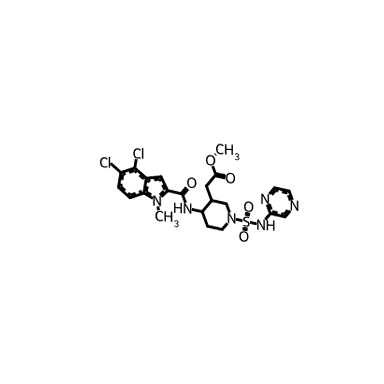 COC(=O)CC1CN(S(=O)(=O)Nc2cnccn2)CCC1NC(=O)c1cc2c(Cl)c(Cl)ccc2n1C